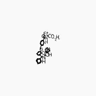 CCC(NC(=O)c1ccc(COc2cccc(C(NC(=O)O[C@H]3CN4CCC3CC4)c3ccccc3)c2)cc1)C(=O)O